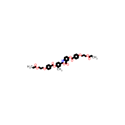 C=CC(=O)OCCCOc1ccc(C(=O)Oc2ccc3nc(-c4ccc(OC(=O)c5ccc(OCCCOC(=O)C=C)cc5)c(C)c4)oc(=O)c3c2)cc1